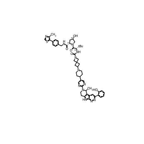 Cc1ncsc1-c1ccc(CNC(=O)[C@@H]2C[C@@H](O)CN2C(=O)[C@@H](NC(=O)N2CC3(CC(N4CCC(c5cnc(N6CCc7[nH]c8nnc(-c9ccccc9O)cc8c7C6C)nc5)CC4)C3)C2)C(C)(C)C)cc1